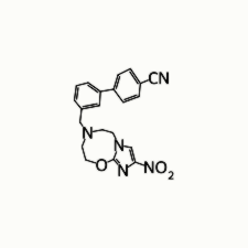 N#Cc1ccc(-c2cccc(CN3CCOc4nc([N+](=O)[O-])cn4CC3)c2)cc1